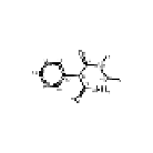 CON(C)C(=O)C(C(N)=O)c1ccccc1